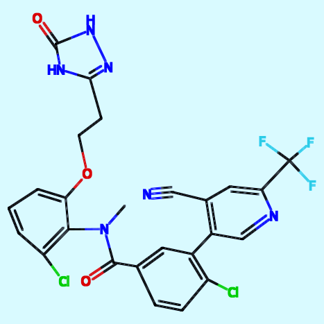 CN(C(=O)c1ccc(Cl)c(-c2cnc(C(F)(F)F)cc2C#N)c1)c1c(Cl)cccc1OCCc1n[nH]c(=O)[nH]1